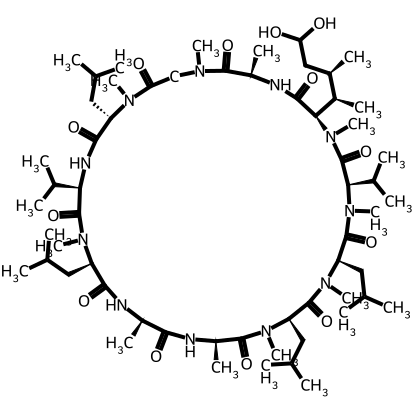 CC(C)C[C@@H]1C(=O)N(C)[C@H](C(C)C)C(=O)N(C)[C@H]([C@H](C)[C@H](C)CC(O)O)C(=O)N[C@H](C)C(=O)N(C)CC(=O)N(C)[C@@H](CC(C)C)C(=O)N[C@H](C(C)C)C(=O)N(C)[C@H](CC(C)C)C(=O)N[C@H](C)C(=O)N[C@H](C)C(=O)N(C)[C@H](CC(C)C)C(=O)N1C